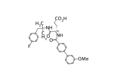 COc1cccc(-c2ccc(C(=O)N[C@@H](CCC(=O)O)C(=O)NC(C)(C)Cc3ccc(F)cc3)cc2)c1